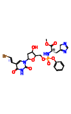 COC(=O)[C@H](CC1=NC=NC1)NP(=O)(OCC1OC(n2cc(/C=C/Br)c(=O)[nH]c2=O)CC1O)Oc1ccccc1